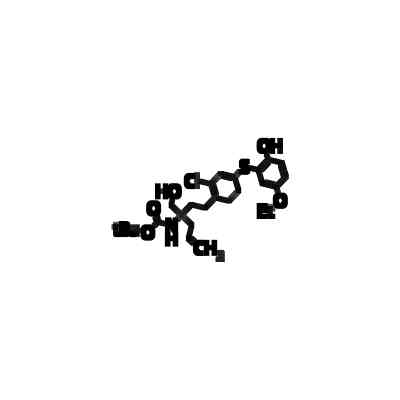 C=CCC(CO)(CCC1=C(Cl)C=C(Sc2cc(OCC)ccc2O)CC1)NC(=O)OC(C)(C)C